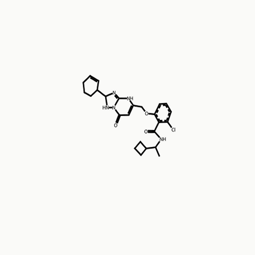 CC(NC(=O)c1c(Cl)cccc1OCC1=CC(=O)N2NC(C3C=CCCC3)N=C2N1)C1CCC1